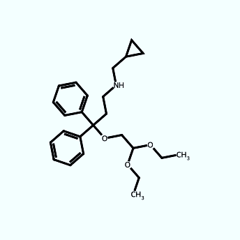 CCOC(COC(CCNCC1CC1)(c1ccccc1)c1ccccc1)OCC